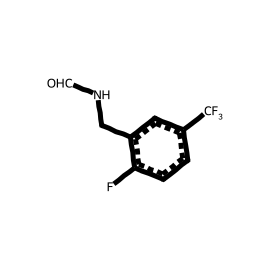 O=CNCc1cc(C(F)(F)F)ccc1F